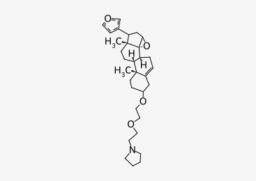 C[C@]12CCC(OCCOCCN3CCCC3)CC1=CC[C@@H]1[C@H]2CC[C@]2(C)C(c3ccoc3)CC3O[C@]312